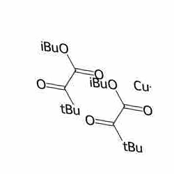 CC(C)COC(=O)C(=O)C(C)(C)C.CC(C)COC(=O)C(=O)C(C)(C)C.[Cu]